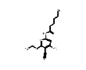 CCCCCC(=O)Nc1cc(N)c(C#N)c(OCC)n1